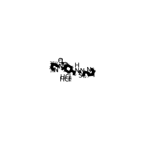 CC(Nc1nc(-c2ccccn2)cs1)C1CCC2(CC1)CN(c1ccccn1)C(=O)O2.Cl.Cl